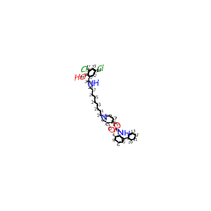 O=C(Nc1ccccc1-c1ccccc1)OC1CCN(CCCCCCCCCNCc2cc(Cl)cc(Cl)c2O)CC1